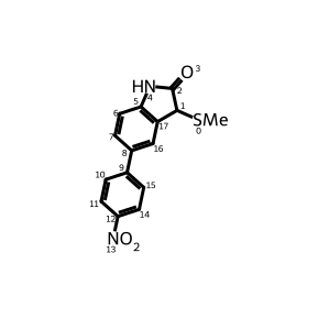 CSC1C(=O)Nc2ccc(-c3ccc([N+](=O)[O-])cc3)cc21